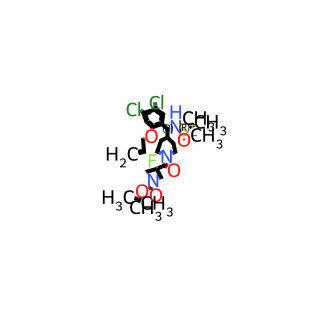 C=CCOc1cc(Cl)c(Cl)cc1[C@H](N[S@@+]([O-])C(C)(C)C)C1CCN(C(=O)C2(F)CN(C(=O)OC(C)(C)C)C2)CC1